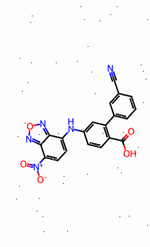 N#Cc1cccc(-c2cc(Nc3ccc([N+](=O)[O-])c4nonc34)ccc2C(=O)O)c1